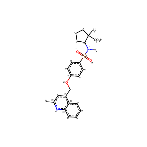 CCC1(C(=O)O)CCCC1N(C)S(=O)(=O)c1ccc(OCc2cc(C)nc3ccccc23)cc1